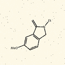 C=C1c2cc(OC)ccc2CN1CC